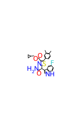 Cc1ccc(-c2sc(C(C(N)=O)c3c[nH]c4ccc(F)cc34)nc2C(=O)OCC2CC2)cc1C